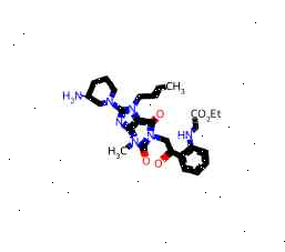 C/C=C/Cn1c(N2CCC[C@@H](N)C2)nc2c1c(=O)n(CC(=O)c1ccccc1NCC(=O)OCC)c(=O)n2C